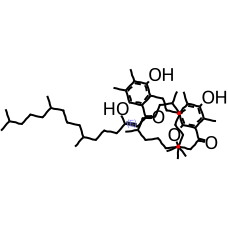 C/C(=C\C(=O)c1c(O)c(C)c(C)c(O)c1CCc1c(C)c(O)c(C)c2c1OC(C)(CCCC(C)CCCC(C)CCCC(C)C)CC2=O)CCCC(C)CCCC(C)CCCC(C)C